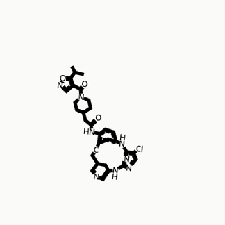 CC(C)c1oncc1C(=O)N1CCC(CC(=O)Nc2ccc3cc2CCC2C=NC=C(C2)Nc2ncc(Cl)c(n2)N3)CC1